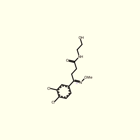 CO/N=C(\CCC(=O)NCCO)c1ccc(Cl)c(Cl)c1